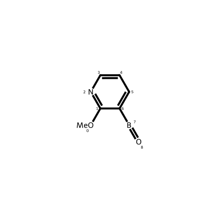 COc1ncccc1B=O